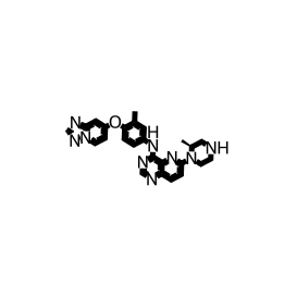 Cc1cc(Nc2ncnc3ccc(N4CCNC[C@@H]4C)nc23)ccc1Oc1ccn2ncnc2c1